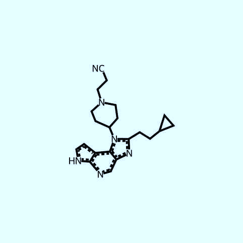 N#CCCN1CCC(n2c(CCC3CC3)nc3cnc4[nH]ccc4c32)CC1